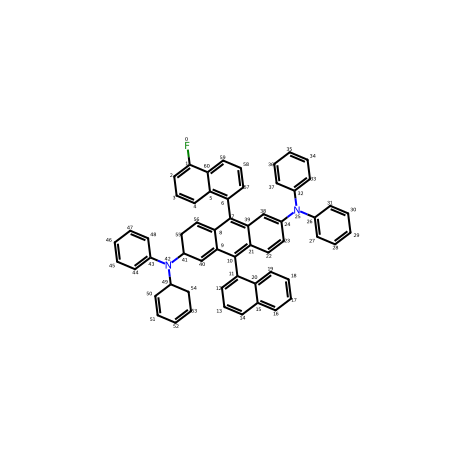 Fc1cccc2c(-c3c4c(c(-c5cccc6ccccc56)c5ccc(N(c6ccccc6)c6ccccc6)cc35)=CC(N(c3ccccc3)C3C=CC=CC3)CC=4)cccc12